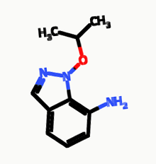 CC(C)On1ncc2cccc(N)c21